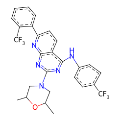 CC1CN(c2nc(Nc3ccc(C(F)(F)F)cc3)c3ccc(-c4ccccc4C(F)(F)F)nc3n2)CC(C)O1